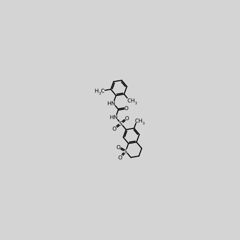 Cc1cc2c(cc1S(=O)(=O)NC(=O)Nc1c(C)cccc1C)S(=O)(=O)CCC2